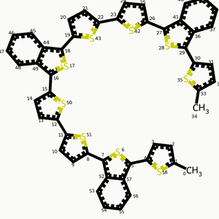 Cc1ccc(-c2sc(-c3ccc(-c4ccc(-c5sc(-c6ccc(-c7ccc(-c8sc(-c9ccc(C)s9)c9ccccc89)s7)s6)c6ccccc56)s4)s3)c3ccccc23)s1